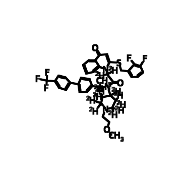 [2H]C(C)(c1ccc(-c2ccc(C(F)(F)F)cc2)cc1)N(C(=O)C([2H])([2H])n1c(SCc2cccc(F)c2F)cc(=O)c2ccccc21)C1([2H])C([2H])([2H])C([2H])([2H])N(CCOC)C([2H])([2H])C1([2H])[2H]